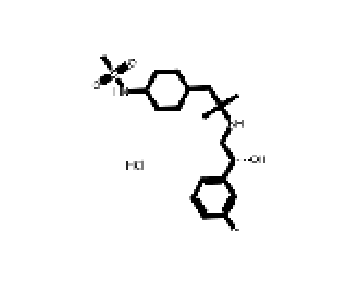 CC(C)(CC1CCC(NS(C)(=O)=O)CC1)NC[C@H](O)c1cccc(F)c1.Cl